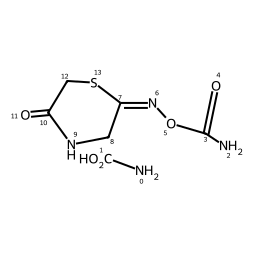 NC(=O)O.NC(=O)ON=C1CNC(=O)CS1